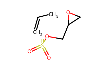 C=CC.O=[SH](=O)OCC1CO1